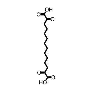 O=C(O)C(=O)CCCCCCCCCCC(=O)C(=O)O